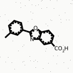 Cc1cccc(-c2nc3cc(C(=O)O)ccc3o2)c1